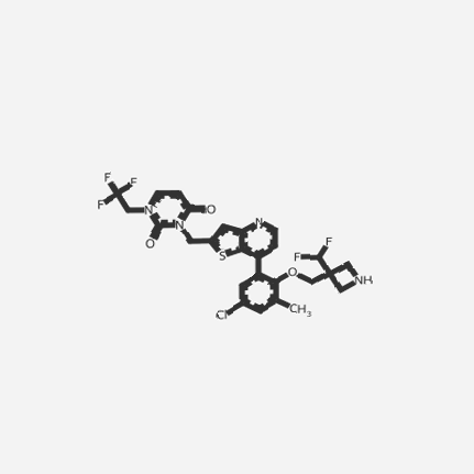 Cc1cc(Cl)cc(-c2ccnc3cc(Cn4c(=O)ccn(CC(F)(F)F)c4=O)sc23)c1OCC1(C(F)F)CNC1